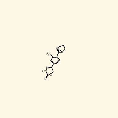 O=C1NN=C(c2ccc(C3=CC4CCC3C4)c(C(F)(F)F)c2)CO1